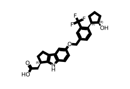 O=C(O)C[C@H]1CCc2c1[nH]c1ccc(OCc3ccc([C@H]4CCC[C@H]4O)c(C(F)(F)F)c3)cc21